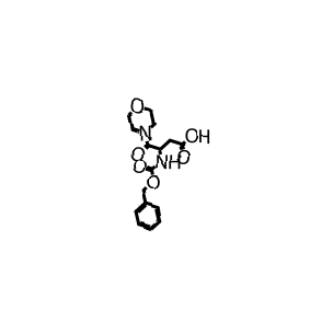 O=C(O)CC(NC(=O)OCc1ccccc1)C(=O)N1CCOCC1